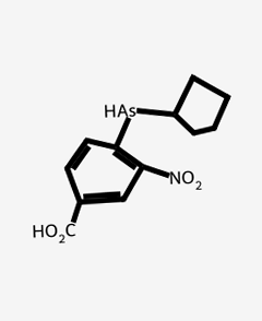 O=C(O)c1ccc([AsH]C2CCCC2)c([N+](=O)[O-])c1